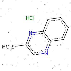 Cl.O=S(=O)(O)c1cnc2ccccc2n1